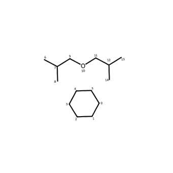 C1CCCCC1.CC(C)COCC(C)C